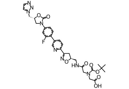 CC(C)(C)OC(=O)N(CC(=O)O)CC(=O)NC[C@@H]1CC(c2ccc(-c3ccc(N4C[C@H](Cn5ccnn5)OC4=O)cc3F)cn2)=NO1